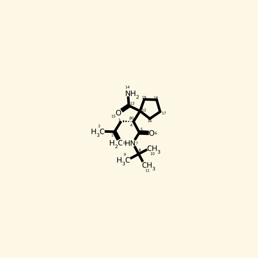 C=C(C)C[C@@H](C(=O)NC(C)(C)C)C1(C(N)=O)CCCC1